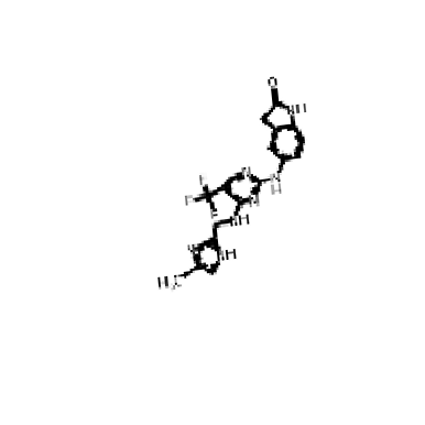 Cc1c[nH]c(CNc2nc(Nc3ccc4c(c3)CC(=O)N4)ncc2C(F)(F)F)n1